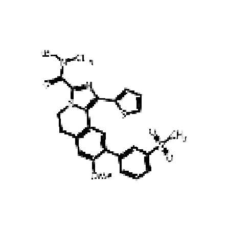 COc1cc2c(cc1-c1cccc(S(C)(=O)=O)c1)-c1c(-c3cccs3)nc(C(=O)N(C)C(C)(C)C)n1CC2